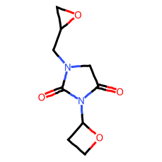 O=C1CN(CC2CO2)C(=O)N1C1CCO1